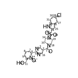 O=C(c1cnc(-c2cccc(CO)[n+]2[O-])nc1)N1CCN(S(=O)(=O)c2cc3cc(Cl)ccc3[nH]2)CC1